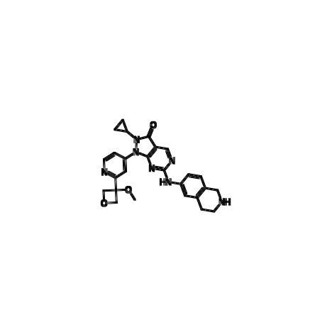 COC1(c2cc(-n3c4nc(Nc5ccc6c(c5)CCNC6)ncc4c(=O)n3C3CC3)ccn2)COC1